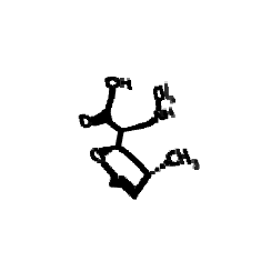 CN[C@H](C(=O)O)[C@@H]1OC=C[C@H]1C